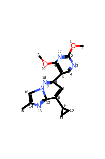 COc1ncc(-c2cc(C3CC3)c3nc(C)cn3n2)c(OC)n1